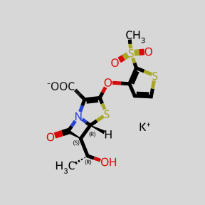 C[C@@H](O)[C@H]1C(=O)N2C(C(=O)[O-])=C(Oc3ccsc3S(C)(=O)=O)S[C@H]12.[K+]